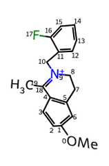 COc1ccc2c(c1)CC[N+](Cc1ccccc1F)=C2C